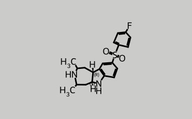 CC1C[C@@H]2Nc3ccc(S(=O)(=O)c4ccc(F)cc4)cc3[C@H]2CC(C)N1